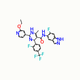 CCOc1cc(C2=NC(c3ccc(C(F)(F)F)cc3F)C(C(=O)Nc3cc4cn[nH]c4cc3F)=C(C)N2)ccn1